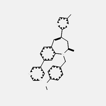 COc1ccc(CN2C(=O)CC(c3ncc(C)o3)=Cc3ccc(-c4cncnc4)cc32)cc1